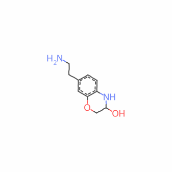 NCCc1ccc2c(c1)OCC(O)N2